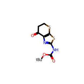 CC(C)(C)OC(=O)Nc1nc2c(s1)SCCC2=O